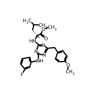 COC(=O)[C@@H](CC(C)C)Nc1nc(Cc2ccc(OC)cc2)nc(Nc2cccc(F)c2)n1